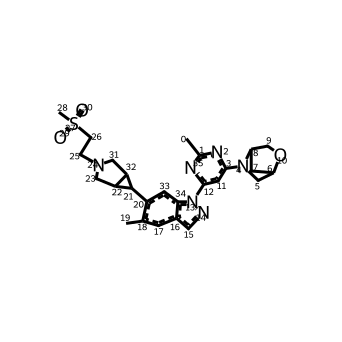 Cc1nc(N2CC3CC2CO3)cc(-n2ncc3cc(C)c(C4C5CN(CCS(C)(=O)=O)CC54)cc32)n1